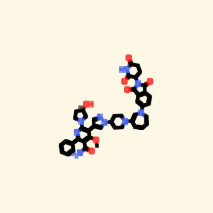 COc1c(C(N)=O)c(-c2ccccc2)nc(N2CC[C@@H](O)C2)c1-c1cnn(C2CCN(C3=CN(c4ccc5c(c4)C(=O)N(C4CCC(=O)NC4=O)C5=O)C=CC=C3)CC2)c1